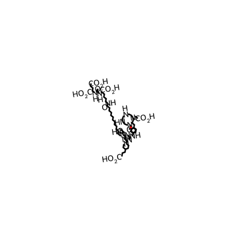 O=C(O)CCCC1CCN(c2nc(Nc3ccc(CC4CN(CC(=O)O)CCNCCNCCN4CC(=O)O)cc3)nc(N3CCN(CCCCCCCCCCC(=O)NCCCC[C@H](NC(=O)N[C@@H](CCC(=O)O)C(=O)O)C(=O)O)CC3)n2)CC1